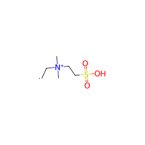 [CH2]C[N+](C)(C)CCS(=O)(=O)O